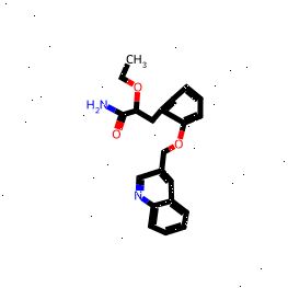 CCOC(Cc1ccccc1OCc1cnc2ccccc2c1)C(N)=O